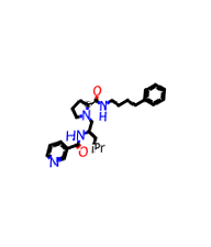 CC(C)CC(CN1CCC[C@H]1C(=O)NCCCCc1ccccc1)NC(=O)c1cccnc1